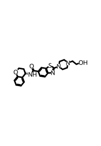 O=C(N[C@H]1CCOc2ccccc21)c1ccc2nc(N3CCN(CCO)CC3)sc2c1